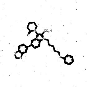 O=C(O)c1c(N2CCCCC2=O)c2cc(-c3ccc4c(c3)OCO4)ccc2n1CCCCCOc1ccccc1